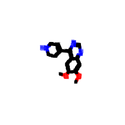 COc1cc2ncnc(C3=CCNCC3)c2cc1OC